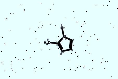 Cc1ncc[s+]1[O-]